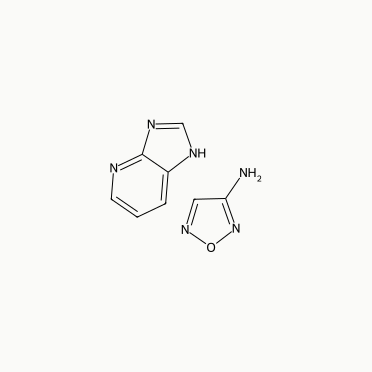 Nc1cnon1.c1cnc2nc[nH]c2c1